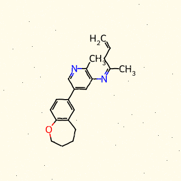 C=CC/C(C)=N\c1cc(-c2ccc3c(c2)CCCCO3)cnc1C